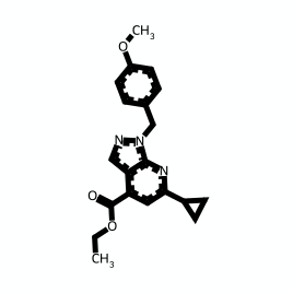 CCOC(=O)c1cc(C2CC2)nc2c1cnn2Cc1ccc(OC)cc1